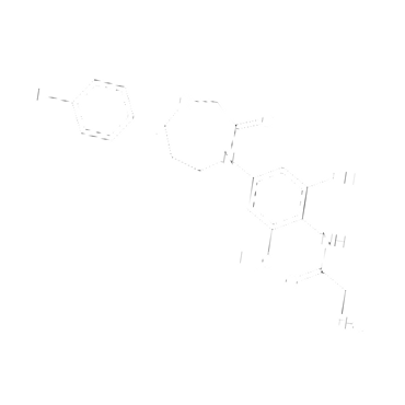 Cc1cc(N2CC[C@H](c3ccc(F)cc3)OCC2=O)cc(C)c1NC(=O)CC(C)(C)C